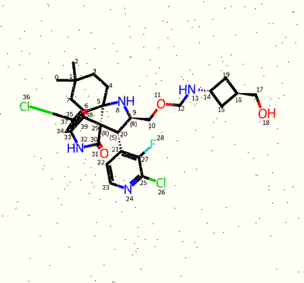 CC1(C)CCC2(CC1)N[C@@H](COCN[C@H]1C[C@H](CO)C1)[C@H](c1ccnc(Cl)c1F)[C@]21C(=O)Nc2cc(Cl)ccc21